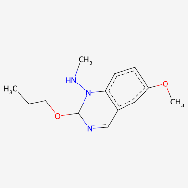 CCCOC1N=Cc2cc(OC)ccc2N1NC